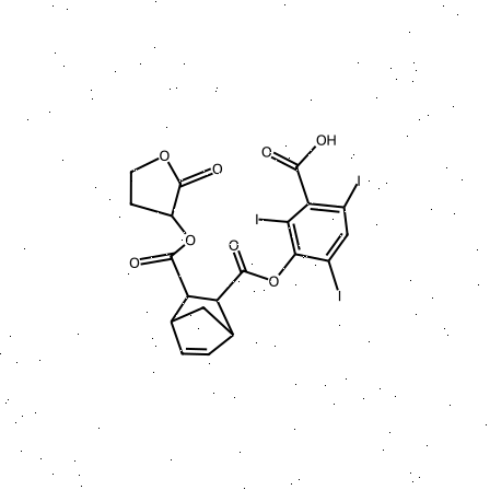 O=C(O)c1c(I)cc(I)c(OC(=O)C2C3C=CC(C3)C2C(=O)OC2CCOC2=O)c1I